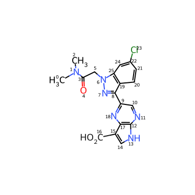 CN(C)C(=O)Cn1nc(-c2cnc3[nH]cc(C(=O)O)c3n2)c2ccc(Cl)cc21